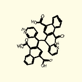 O=C(O)c1cc(C(c2cccnc2)C(c2cccnc2)c2cc(C(=O)O)c3ccccc3c2C(=O)O)c(C(=O)O)c2ccccc12.[Zn]